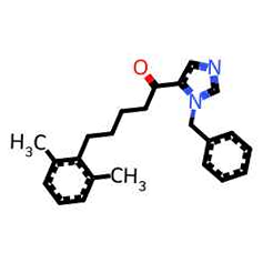 Cc1cccc(C)c1CCCCC(=O)c1cncn1Cc1ccccc1